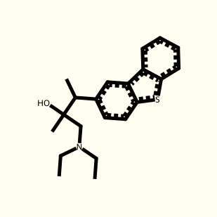 CCN(CC)CC(C)(O)C(C)c1ccc2sc3ccccc3c2c1